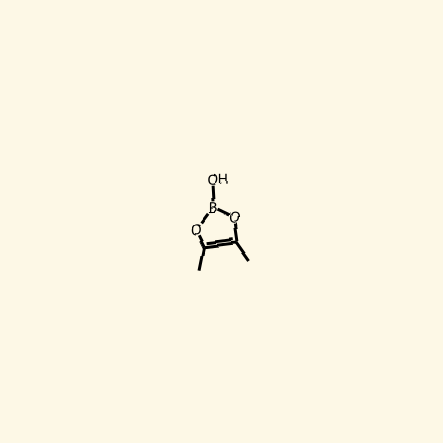 CC1=C(C)OB(O)O1